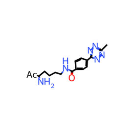 CC(=O)C(N)CCCCNC(=O)c1ccc(-c2nnc(C)nn2)cc1